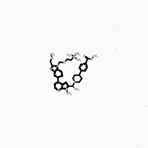 COCc1nc2cc(-c3ccnc4c3cc([C@H](C)N3CCC(c5ccc(C(=O)OC)cc5)CC3)n4C)ccc2n1COCC[Si](C)(C)C